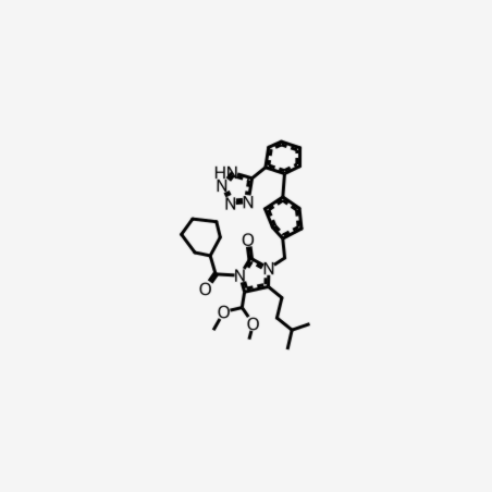 COC(OC)c1c(CCC(C)C)n(Cc2ccc(-c3ccccc3-c3nnn[nH]3)cc2)c(=O)n1C(=O)C1CCCCC1